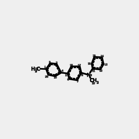 Cc1ccc(-c2ccc(N(C)c3ccccc3)cc2)cc1